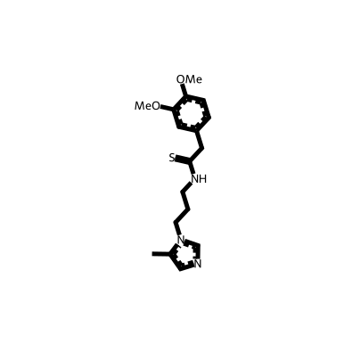 COc1ccc(CC(=S)NCCCn2cncc2C)cc1O[11CH3]